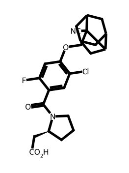 N#CC1(COc2cc(F)c(C(=O)N3CCC[C@H]3CC(=O)O)cc2Cl)C2CC3CC(C2)C1C3